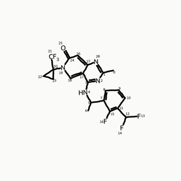 Cc1nc(NC(C)c2cccc(C(F)F)c2F)c2cn(C3(C(F)(F)F)CC3)c(=O)cc2n1